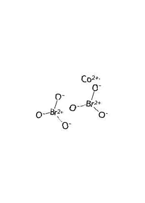 [Co+2].[O-][Br+2]([O-])[O-].[O-][Br+2]([O-])[O-]